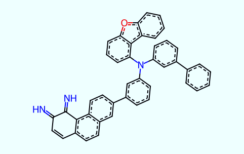 N=C1C=Cc2ccc3cc(-c4cccc(N(c5cccc(-c6ccccc6)c5)c5cccc6oc7ccccc7c56)c4)ccc3c2C1=N